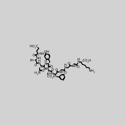 CC(C)[C@H](NC(=O)[C@@H](N)CCC(=O)O)C(=O)N[C@@H](CC(N)=O)C(=O)N[C@@H](Cc1ccc(O)cc1)C(=O)N[C@@H](CC(=O)O)C(=O)N[C@@H](Cc1ccccc1)C(=O)NCC(=O)NCC(=O)NCC(=O)N[C@@H](CCCCN)C(=O)O